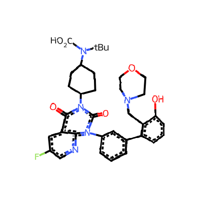 CC(C)(C)N(C(=O)O)C1CCC(n2c(=O)c3cc(F)cnc3n(-c3cccc(-c4cccc(O)c4CN4CCOCC4)c3)c2=O)CC1